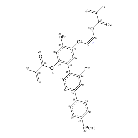 C=C(C)C(=O)O/C=C\Oc1cc(-c2ccc(-c3ccc(CCCCC)cc3)cc2F)c(OC(=O)C(=C)C)cc1CCC